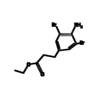 CCOC(=O)CCc1cc(Br)c(N)c(Br)c1